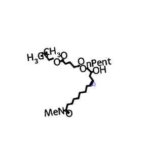 CCCCCC(OC(=O)CCCC(=O)OCCN(C)C)C(O)C/C=C\CCCCCCCC(=O)NC